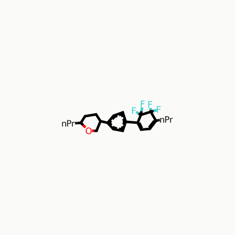 CCCC1=CC=C(c2ccc(C3CCC(CCC)OC3)cc2)C(F)(F)C1(F)F